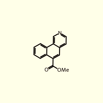 COC(=O)c1cc2ccncc2c2ccccc12